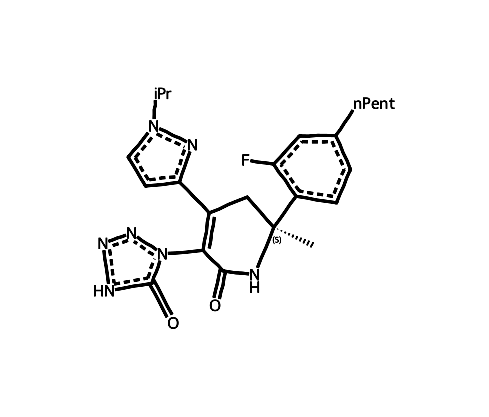 CCCCCc1ccc([C@]2(C)CC(c3ccn(C(C)C)n3)=C(n3nn[nH]c3=O)C(=O)N2)c(F)c1